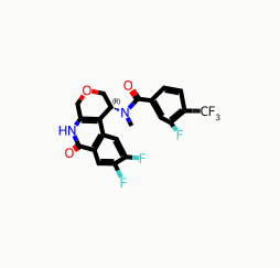 CN(C(=O)c1ccc(C(F)(F)F)c(F)c1)[C@H]1COCc2[nH]c(=O)c3cc(F)c(F)cc3c21